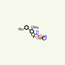 COc1cc2c(cc1-c1cccc(C(C)(C)C)c1)CC(C)(C)C2NC(=O)O[C@@H]1CN2CCC1CC2